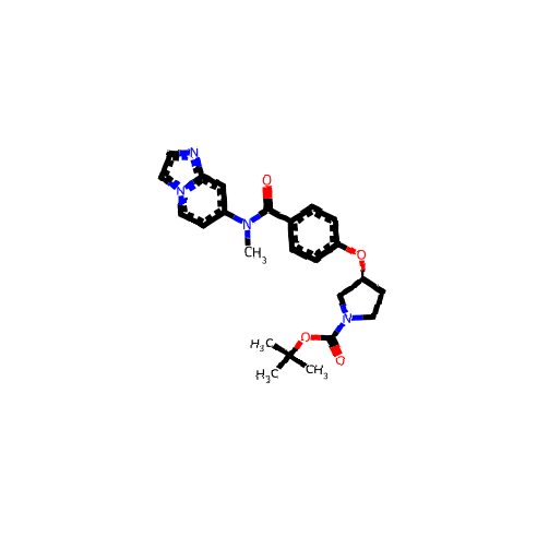 CN(C(=O)c1ccc(O[C@H]2CCN(C(=O)OC(C)(C)C)C2)cc1)c1ccn2ccnc2c1